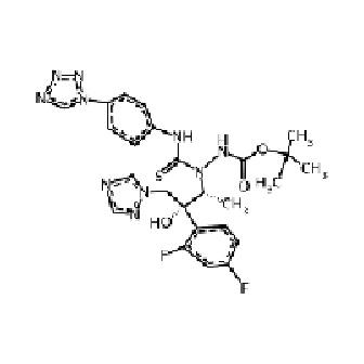 C[C@@H](N(NC(=O)OC(C)(C)C)C(=S)Nc1ccc(-n2cnnn2)cc1)[C@](O)(Cn1cncn1)c1ccc(F)cc1F